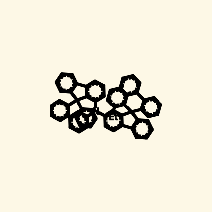 CCc1ccc2cccc3c2c1C1(c2ccccc2-c2ccc(N(c4ccccc4)c4cccc5c4C(c4ccccc4)(c4ccccc4)c4ccccc4-5)cc21)c1ccccc1-3